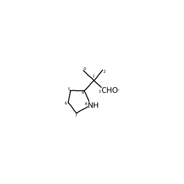 CC(C)([C]=O)C1CCCN1